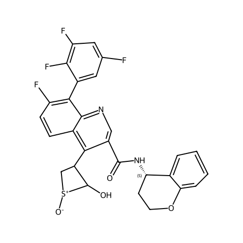 O=C(N[C@H]1CCOc2ccccc21)c1cnc2c(-c3cc(F)cc(F)c3F)c(F)ccc2c1C1C[S+]([O-])C1O